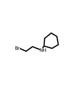 BrCCNC1CCCCC1